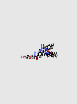 CN(CCn1c(Nc2nc3ccc(Cl)cc3s2)nc2cc(C(=O)NCCOCCO)ccc21)C(=O)OC(C)(C)C